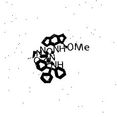 COC[C@@H]1CCc2cc3c(c(NC(=O)N=S(=O)(NC(c4ccccc4)(c4ccccc4)c4ccccc4)c4cnn5c4O[C@H](C)C5)c21)CCC3